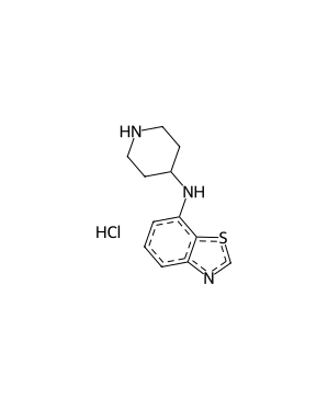 Cl.c1cc(NC2CCNCC2)c2scnc2c1